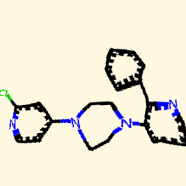 Clc1cc(N2CCN(c3cccnc3-c3ccccc3)CC2)ccn1